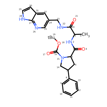 CC(NC(=O)C1CC(c2ccccc2)CN1C(=O)OC(C)(C)C)C(=O)NCc1cnc2[nH]ccc2c1